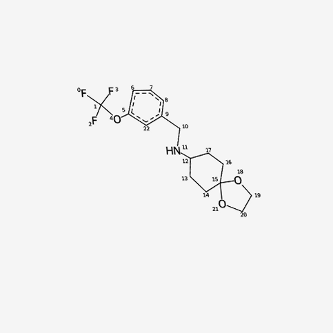 FC(F)(F)Oc1cccc(CNC2CCC3(CC2)OCCO3)c1